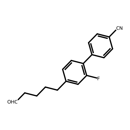 N#Cc1ccc(-c2ccc(CCCCC=O)cc2F)cc1